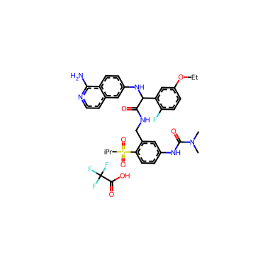 CCOc1ccc(F)c(C(Nc2ccc3c(N)nccc3c2)C(=O)NCc2cc(NC(=O)N(C)C)ccc2S(=O)(=O)C(C)C)c1.O=C(O)C(F)(F)F